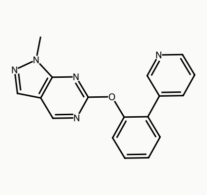 Cn1ncc2cnc(Oc3ccccc3-c3cccnc3)nc21